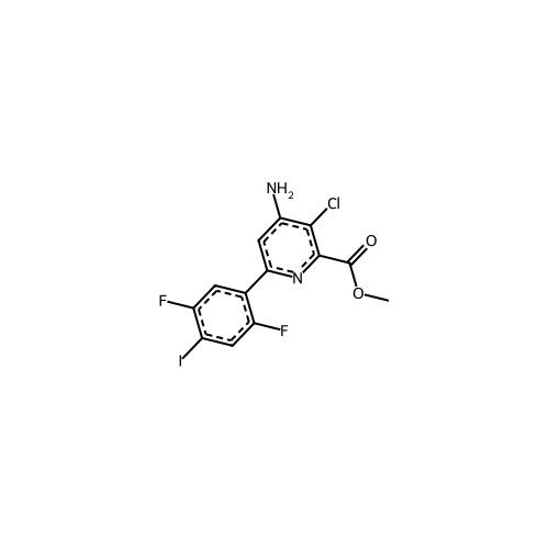 COC(=O)c1nc(-c2cc(F)c(I)cc2F)cc(N)c1Cl